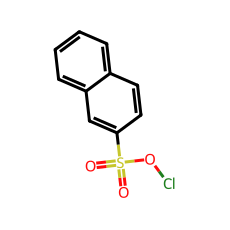 O=S(=O)(OCl)c1ccc2ccccc2c1